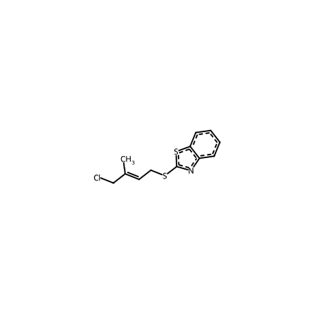 C/C(=C\CSc1nc2ccccc2s1)CCl